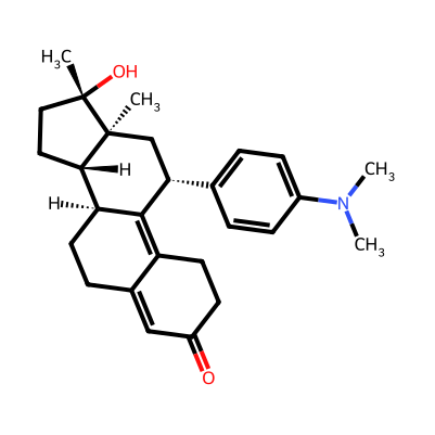 CN(C)c1ccc([C@H]2C[C@@]3(C)[C@@H](CC[C@]3(C)O)[C@@H]3CCC4=CC(=O)CCC4=C32)cc1